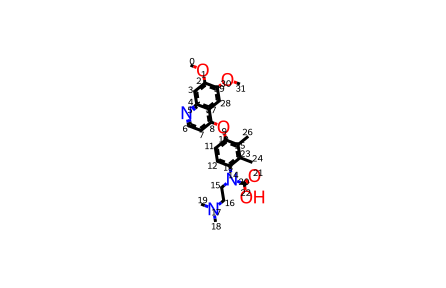 COc1cc2nccc(Oc3ccc(N(CCN(C)C)C(=O)O)c(C)c3C)c2cc1OC